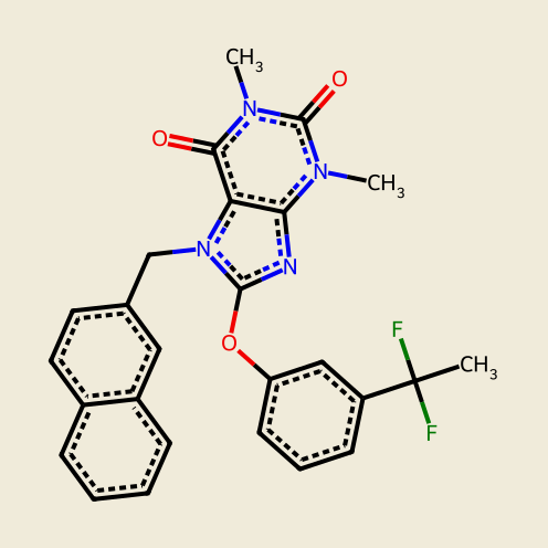 Cn1c(=O)c2c(nc(Oc3cccc(C(C)(F)F)c3)n2Cc2ccc3ccccc3c2)n(C)c1=O